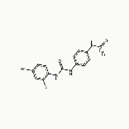 O=C(Nc1ccc(N[SH](=O)=O)cc1)Nc1ccc(Br)cc1F